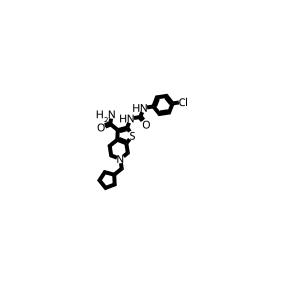 NC(=O)c1c(NC(=O)Nc2ccc(Cl)cc2)sc2c1CCN(CC1CCCC1)C2